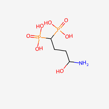 NC(O)CCC(P(=O)(O)O)P(=O)(O)O